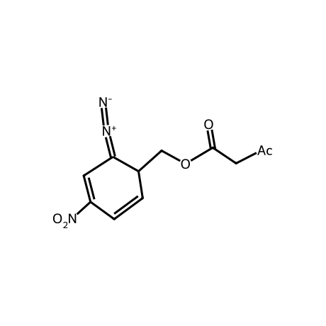 CC(=O)CC(=O)OCC1C=CC([N+](=O)[O-])=CC1=[N+]=[N-]